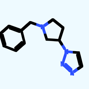 c1ccc(CN2CCC(n3ccnn3)C2)cc1